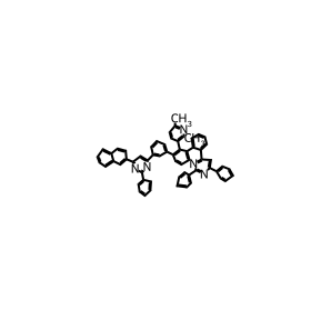 Cc1ccc(-c2c(-c3cccc(-c4cc(-c5ccc6ccccc6c5)nc(-c5ccccc5)n4)c3)cccc2-c2ccccc2-c2cc(-c3ccccc3)nc(-c3ccccc3)n2)c(C)n1